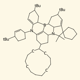 CC(C)(C)C1C=CC(N2C3=CCC(C(C)(C)C)CC3B3C4=C2CC(C2CCCCCCCCCCC2)CC4N2C4C(=CC(C(C)(C)C)CC34)C3(CCCCC3)C2(C)C)CC1